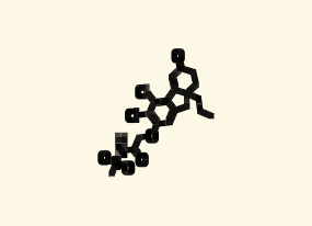 CCCC12CCC(=O)C=C1c1c(cc(OCC(=O)NS(C)(=O)=O)c(Cl)c1Cl)C2